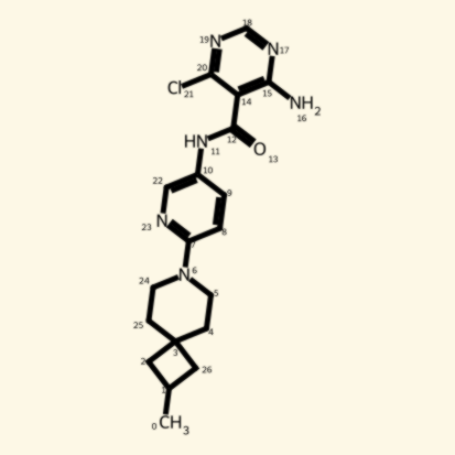 CC1CC2(CCN(c3ccc(NC(=O)c4c(N)ncnc4Cl)cn3)CC2)C1